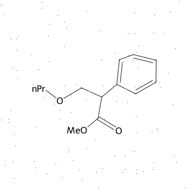 CCCOCC(C(=O)OC)c1ccccc1